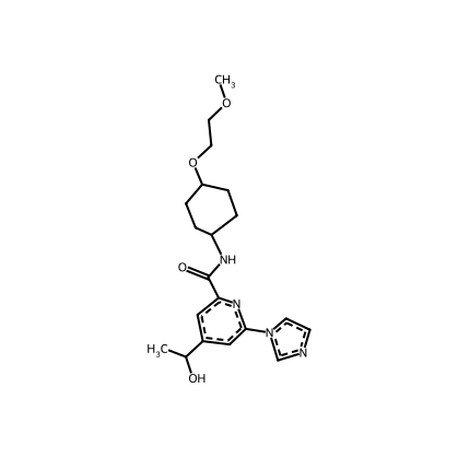 COCCOC1CCC(NC(=O)c2cc(C(C)O)cc(-n3ccnc3)n2)CC1